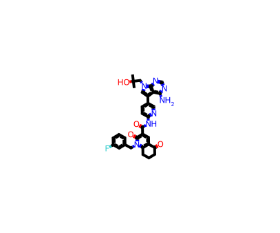 CC(C)(O)Cn1cc(-c2ccc(NC(=O)c3cc4c(n(Cc5cccc(F)c5)c3=O)CCCC4=O)nc2)c2c(N)ncnc21